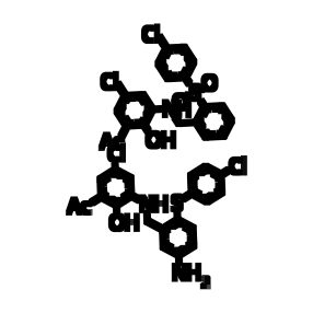 CC(=O)c1cc(Cl)cc(NCc2cc(N)ccc2Sc2ccc(Cl)cc2)c1O.CC(=O)c1cc(Cl)cc(NCc2ccccc2S(=O)(=O)c2ccc(Cl)cc2)c1O